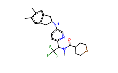 Cc1cc2c(cc1C)CC(Nc1ccc(C(N(C)C(=O)C3CCSCC3)C(F)(F)F)nc1)C2